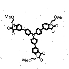 COCCN1C(=O)C(=O)c2cc(-c3ccc(N(c4ccc(-c5ccc6c(c5)C(=O)C(=O)N6CCOC)cc4)c4ccc(-c5ccc6c(c5)C(=O)C(=O)N6CCOC)cc4)cc3)ccc21